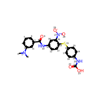 CN(C)c1cccc(C(=O)Nc2ccc(Sc3ccc(NC(=O)O)cc3)c([N+](=O)[O-])c2)c1